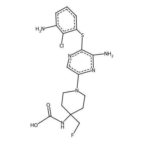 Nc1cccc(Sc2ncc(N3CCC(CF)(NC(=O)O)CC3)nc2N)c1Cl